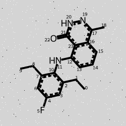 CCc1cc(F)cc(CC)c1Nc1cccc2c(C)n[nH]c(=O)c12